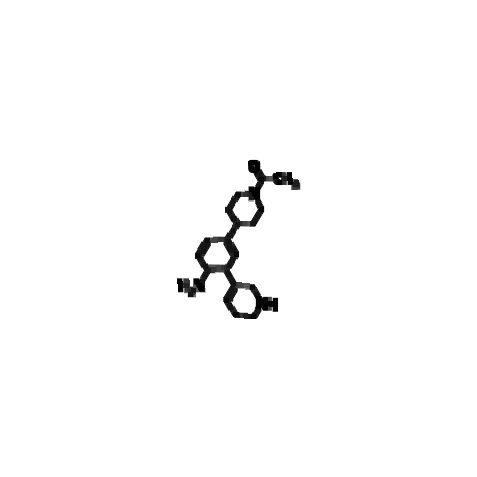 CC(=O)N1CCC(c2ccc(N)c(C3=CCCNC3)c2)CC1